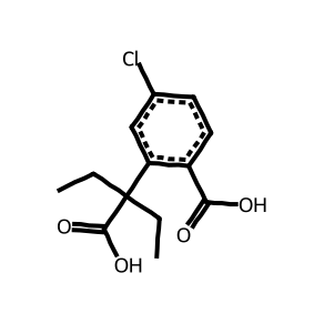 CCC(CC)(C(=O)O)c1cc(Cl)ccc1C(=O)O